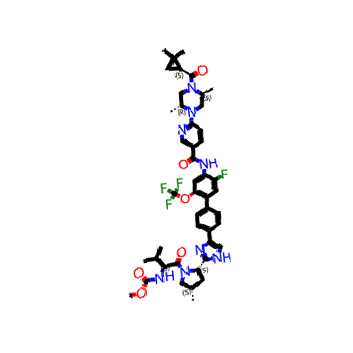 COC(=O)N[C@H](C(=O)N1C[C@@H](C)C[C@H]1c1nc(-c2ccc(-c3cc(F)c(NC(=O)c4ccc(N5C[C@H](C)N(C(=O)[C@H]6CC6(C)C)C[C@H]5C)nc4)cc3OC(F)(F)F)cc2)c[nH]1)C(C)C